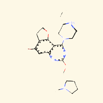 CN1CCC[C@H]1COc1nc(N2CCN[C@@H](CC#N)C2)c2c3c(c(Br)cc2n1)CCO3